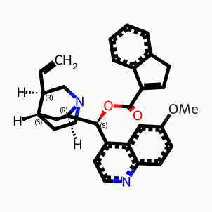 C=C[C@H]1CN2CC[C@H]1C[C@@H]2[C@@H](OC(=O)C1=CCc2ccccc21)c1ccnc2ccc(OC)cc12